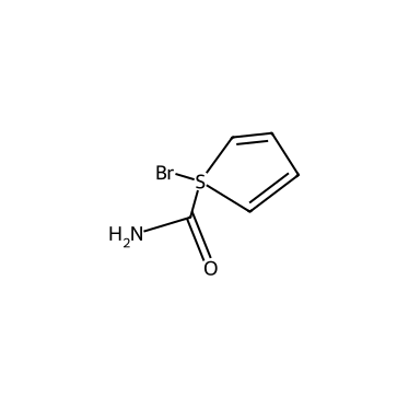 NC(=O)S1(Br)C=CC=C1